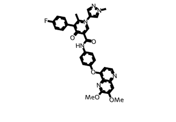 COc1cc2nccc(Oc3ccc(NC(=O)c4cn(-c5cnn(C)c5)c(C)c(-c5ccc(F)cc5)c4=O)cc3)c2nc1OC